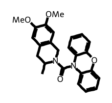 COc1cc2c(cc1OC)CN(C(=O)N1c3ccccc3Oc3ccccc31)C(C)C2